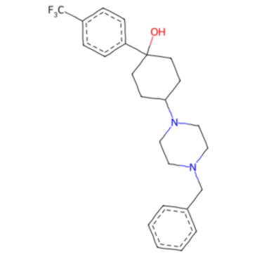 OC1(c2ccc(C(F)(F)F)cc2)CCC(N2CCN(Cc3ccccc3)CC2)CC1